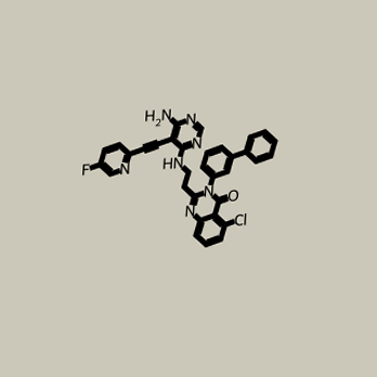 Nc1ncnc(NCCc2nc3cccc(Cl)c3c(=O)n2-c2cccc(-c3ccccc3)c2)c1C#Cc1ccc(F)cn1